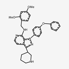 COc1ccc(CNc2nccc3c(C4CCCNC4)nn(-c4ccc(Oc5ccccc5)cc4)c23)c(OC)c1